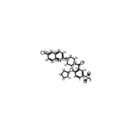 CS(=O)(=O)c1ccc(OC2CCCC2)c(C(=O)N2CCN(c3ccc4cc(Cl)ccc4n3)CC2)c1